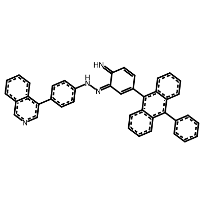 N=C1C=CC(c2c3ccccc3c(-c3ccccc3)c3ccccc23)=C/C1=N/Nc1ccc(-c2cncc3ccccc23)cc1